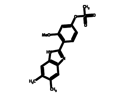 COc1cc(OS(C)(=O)=O)ccc1-c1nc2cc(C)c(C)cc2[nH]1